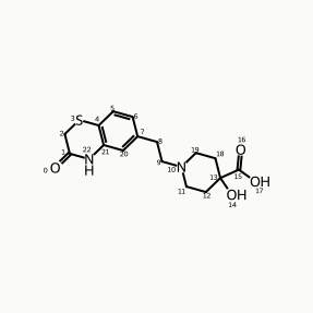 O=C1CSc2ccc(CCN3CCC(O)(C(=O)O)CC3)cc2N1